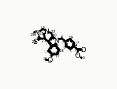 COC(=O)c1ccc(Cn2c3c(c4cc(OC)ccc42)C2CN(C3)CN(C)C2=S)cc1